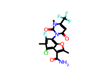 Cc1oc2c(-n3c(=O)cc(C(F)(F)F)n(C)c3=O)c(F)c(C)c(Cl)c2c1C(N)=O